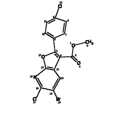 COC(=O)c1c(-c2ccc(Cl)cc2)oc2nc(Cl)c(Br)cc12